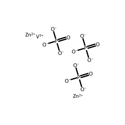 O=P([O-])([O-])[O-].O=P([O-])([O-])[O-].O=P([O-])([O-])[O-].[V+5].[Zn+2].[Zn+2]